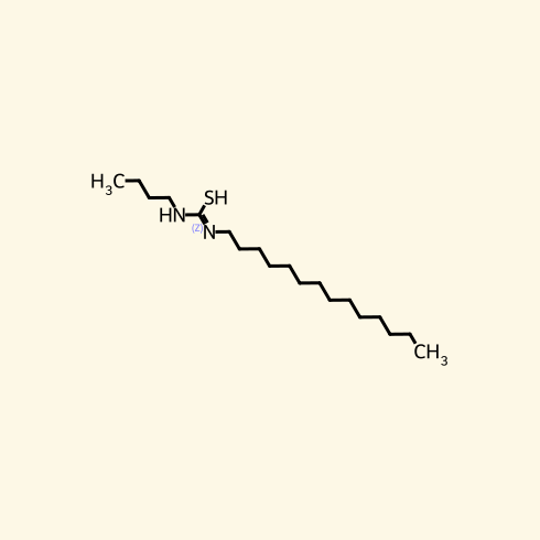 CCCCCCCCCCCCCC/N=C(\S)NCCCC